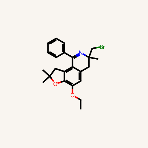 CCOc1cc2c(c3c1OC(C)(C)C3)C(c1ccccc1)=NC(C)(CBr)C2